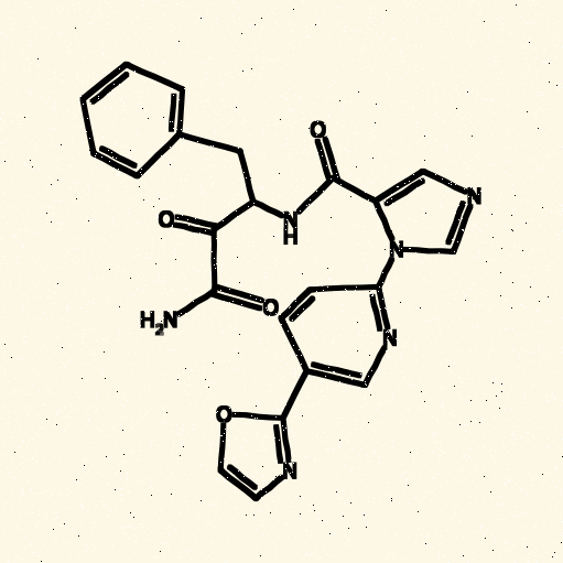 NC(=O)C(=O)C(Cc1ccccc1)NC(=O)c1cncn1-c1ccc(-c2ncco2)cn1